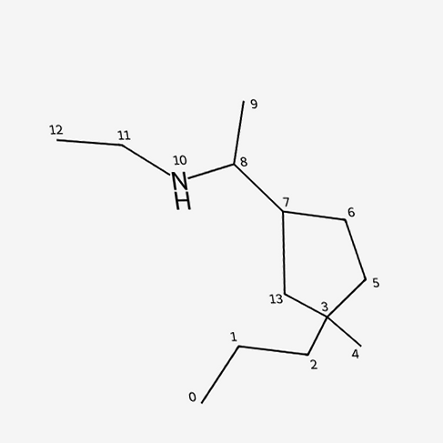 CCCC1(C)CCC(C(C)NCC)C1